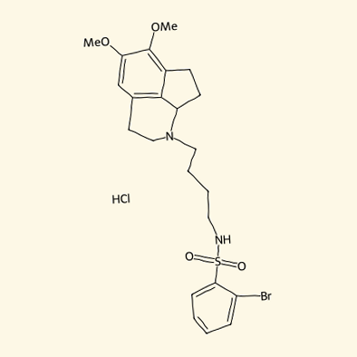 COc1cc2c3c(c1OC)CCC3N(CCCCNS(=O)(=O)c1ccccc1Br)CC2.Cl